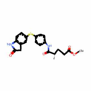 C[C@@H](CCC(=O)OC(C)(C)C)C(=O)Nc1ccc(Sc2ccc3c(c2)CC(=O)N3)cc1